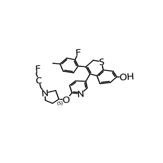 Cc1ccc(C2=C(c3ccc(O[C@H]4CCN(CCCF)C4)nc3)c3ccc(O)cc3SC2)c(F)c1